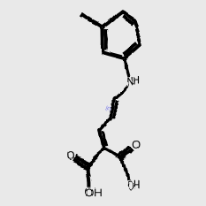 Cc1cccc(N/C=C/C=C(C(=O)O)C(=O)O)c1